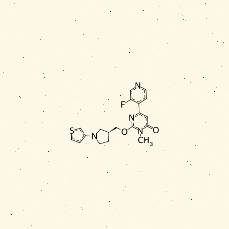 Cn1c(OC[C@H]2CCN(c3ccsc3)C2)nc(-c2ccncc2F)cc1=O